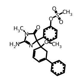 COC1(C2(c3cccc(OS(C)(=O)=O)c3)N=C(N)N(C)C2=O)C=CC=C(c2ccccc2)C1